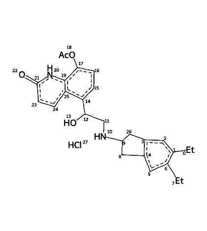 CCc1cc2c(cc1CC)CC(NCC(O)c1ccc(OC(C)=O)c3[nH]c(=O)ccc13)C2.Cl